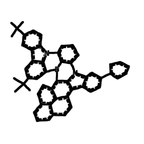 CC(C)(C)c1ccc2c(c1)c1cc(C(C)(C)C)cc3c1n2-c1cccc2c1B3c1c3ccc4cccc5ccc(c3c45)c3c4ccc(-c5ccccc5)cc4n-2c13